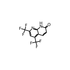 O=c1ccc2c(C(F)(F)F)cc(C(F)(F)F)nc2[nH]1